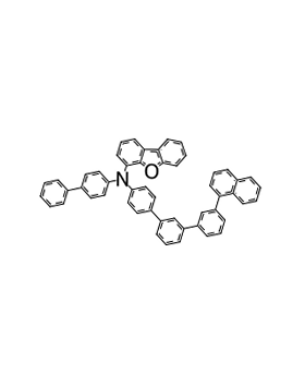 c1ccc(-c2ccc(N(c3ccc(-c4cccc(-c5cccc(-c6cccc7ccccc67)c5)c4)cc3)c3cccc4c3oc3ccccc34)cc2)cc1